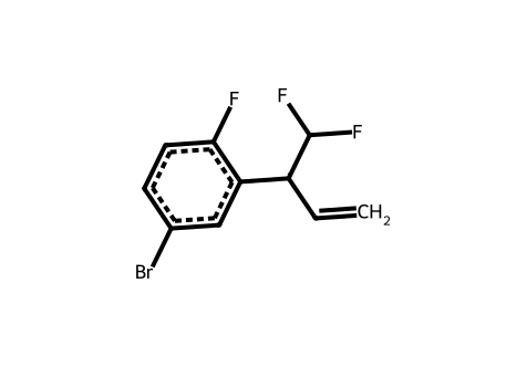 C=C[C](c1cc(Br)ccc1F)C(F)F